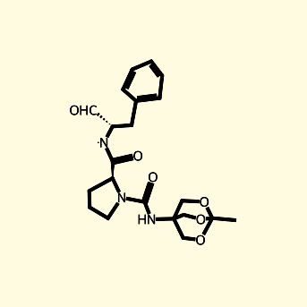 CC12OCC(NC(=O)N3CCC[C@H]3C(=O)[N][C@H](C=O)Cc3ccccc3)(CO1)CO2